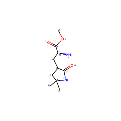 COC(=O)[C@@H](N)CC1CC(C)(C)NC1=O